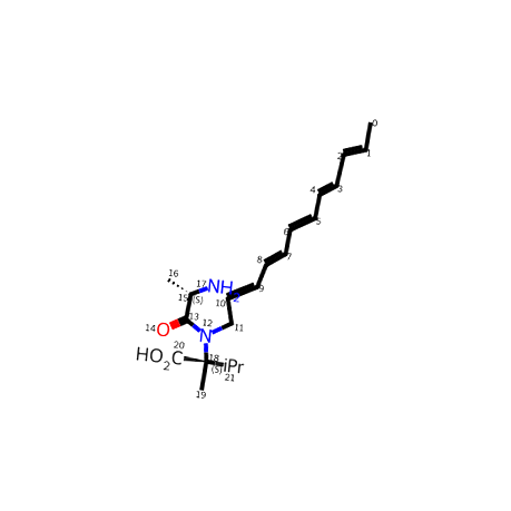 CC=CC=CC=CC=CC=CCN(C(=O)[C@H](C)N)[C@](C)(C(=O)O)C(C)C